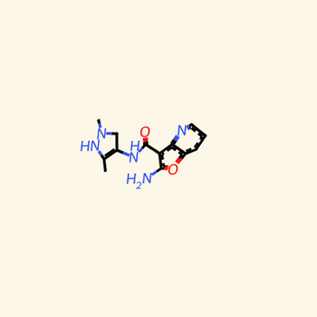 CC1=C(NC(=O)c2c(N)oc3cccnc23)CN(C)N1